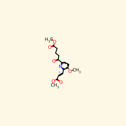 COC(=O)/C=C/c1nc(C(=O)CCCC(=O)OC)ccc1OC